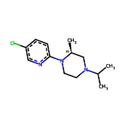 CC(C)N1CCN(c2ccc(Cl)cn2)[C@@H](C)C1